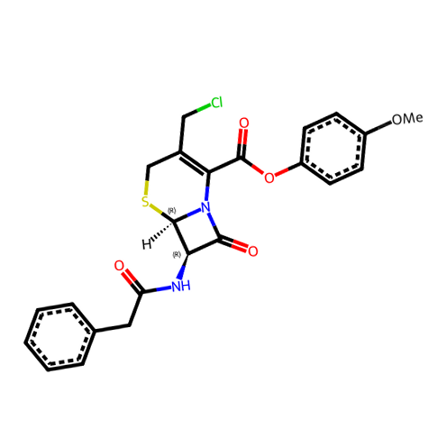 COc1ccc(OC(=O)C2=C(CCl)CS[C@@H]3[C@H](NC(=O)Cc4ccccc4)C(=O)N23)cc1